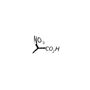 CC(C(=O)O)[N+](=O)[O-]